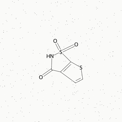 O=C1NS(=O)(=O)c2sccc21